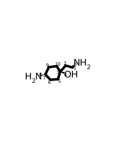 NCC[C@]1(O)CC[C@H](N)CC1